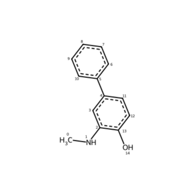 CNc1cc(-c2ccccc2)ccc1O